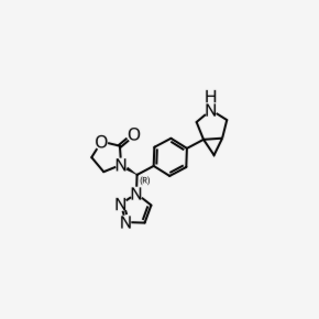 O=C1OCCN1[C@@H](c1ccc(C23CNCC2C3)cc1)n1ccnn1